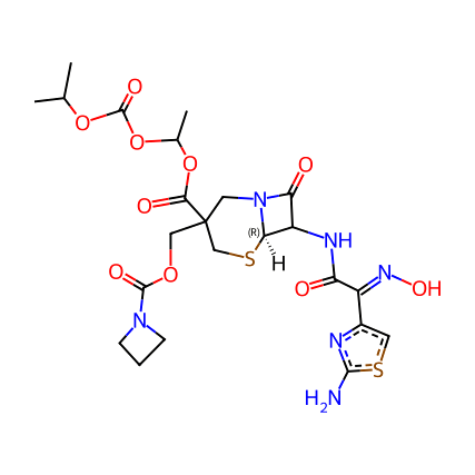 CC(C)OC(=O)OC(C)OC(=O)C1(COC(=O)N2CCC2)CS[C@@H]2C(NC(=O)C(=NO)c3csc(N)n3)C(=O)N2C1